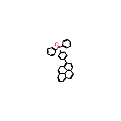 O=P(c1ccccc1)(c1ccccc1)c1ccc(-c2ccc3c4c2CC=C2C=CC=C(C=C3)C24)cc1